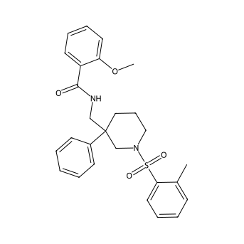 COc1ccccc1C(=O)NCC1(c2ccccc2)CCCN(S(=O)(=O)c2ccccc2C)C1